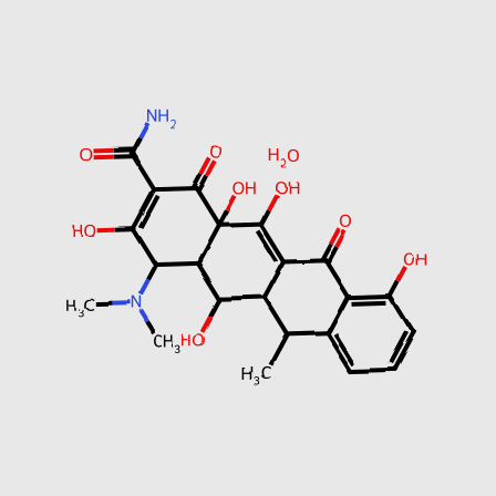 CC1c2cccc(O)c2C(=O)C2=C(O)C3(O)C(=O)C(C(N)=O)=C(O)C(N(C)C)C3C(O)C21.O